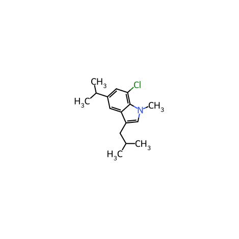 CC(C)Cc1cn(C)c2c(Cl)cc(C(C)C)cc12